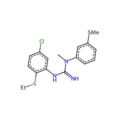 CCSc1ccc(Cl)cc1NC(=N)N(C)c1cccc(SC)c1